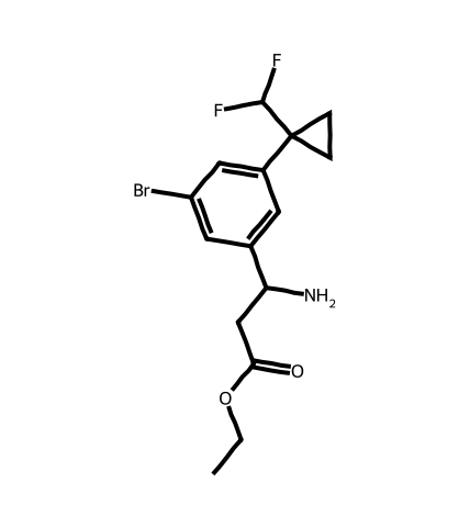 CCOC(=O)CC(N)c1cc(Br)cc(C2(C(F)F)CC2)c1